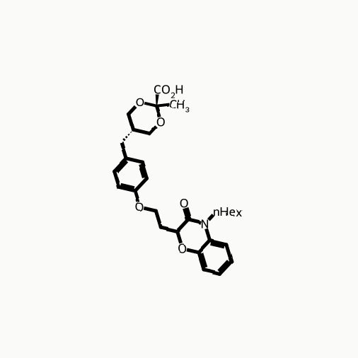 CCCCCCN1C(=O)C(CCOc2ccc(C[C@H]3CO[C@](C)(C(=O)O)OC3)cc2)Oc2ccccc21